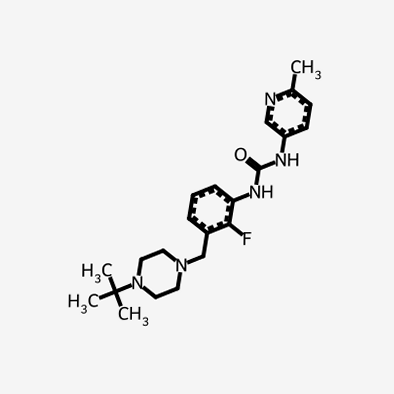 Cc1ccc(NC(=O)Nc2cccc(CN3CCN(C(C)(C)C)CC3)c2F)cn1